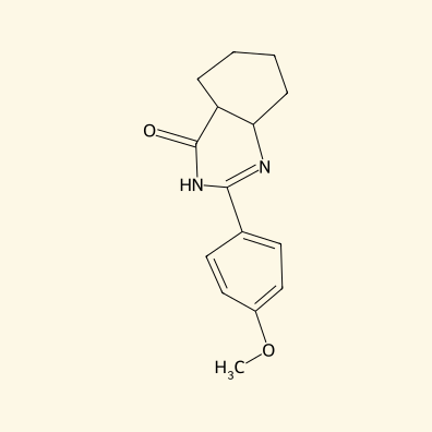 COc1ccc(C2=NC3CCCCC3C(=O)N2)cc1